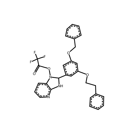 O=C(ON1c2cccnc2NC1c1cc(OCCc2ccccc2)cc(OCc2ccccc2)c1)C(F)(F)F